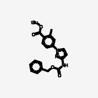 Cc1cc(-n2ccc(NC(=O)OCc3ccccc3)n2)ccc1C(=O)OC(C)(C)C